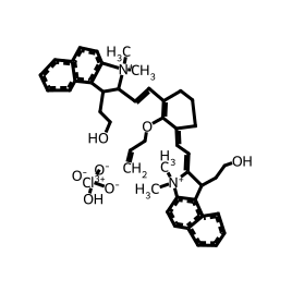 C=CCOC1=C(C=CC2C(CCO)c3c(ccc4ccccc34)[N+]2(C)C)CCCC1=CC=C1C(CCO)c2c(ccc3ccccc23)[N+]1(C)C.[O-][Cl+3]([O-])([O-])O